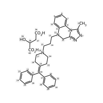 Cc1nnc2n1-c1ccccc1N(CCCN1CCC(=C(c3ccccc3)c3ccccc3)CC1)C2.O=C(O)CC(O)C(=O)O